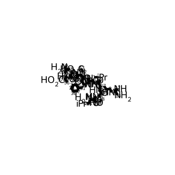 CC(C)C[C@H](NC(=O)[C@H](CCCNC(=N)N)NC(=O)[C@H](CO)NC(=O)[C@@H](N)CC(C)C)C(=O)N[C@@H](Cc1ccccc1)C(=O)N[C@@H](CC(=O)O)C(=O)N[C@@H](CC(N)=O)C(=O)N[C@@H](C)C(=O)O